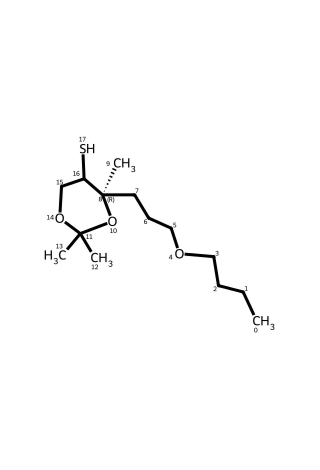 CCCCOCCC[C@@]1(C)OC(C)(C)OCC1S